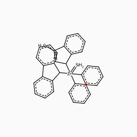 CC1=C[CH]([Zr](=[SiH2])([c]2ccccc2)([c]2ccccc2)[CH]2c3ccccc3-c3ccccc32)c2ccccc21